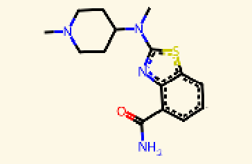 CN1CCC(N(C)c2nc3c(C(N)=O)c[c]cc3s2)CC1